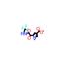 COC(=O)c1cc(C(=O)C(=O)N[C@H](C)C(F)(F)F)n(C)c1